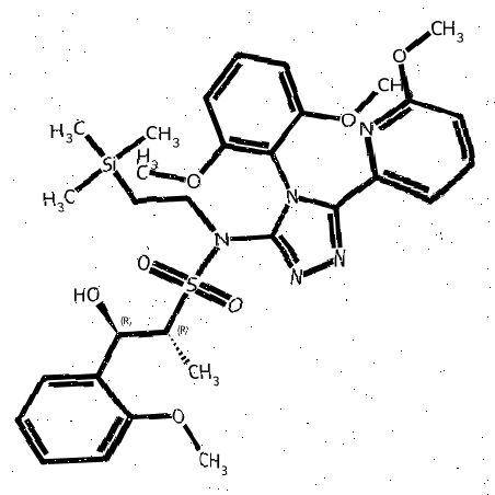 COc1cccc(-c2nnc(N(CC[Si](C)(C)C)S(=O)(=O)[C@H](C)[C@H](O)c3ccccc3OC)n2-c2c(OC)cccc2OC)n1